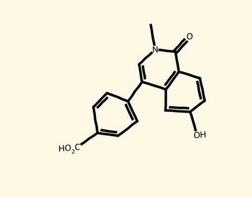 Cn1cc(-c2ccc(C(=O)O)cc2)c2cc(O)ccc2c1=O